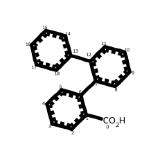 O=C(O)c1ccccc1-c1ccccc1-c1ccccc1